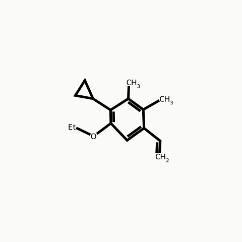 C=Cc1cc(OCC)c(C2CC2)c(C)c1C